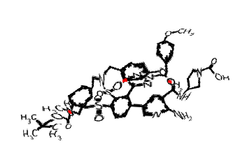 COc1ccc(CN(Cc2ccc(OC)cc2)S(=O)(=O)c2c(S(=O)(=O)CCNC(=O)OC(C)(C)C)ccc(-c3cnc(N)c(C(=O)NC4CCN(C(=O)O)C4)c3)c2-c2nnn(Cc3ccc(OC)cc3)n2)cc1